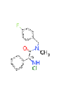 CN(Cc1ccc(F)cc1)C(=O)[C@@H](NCl)c1ccccc1